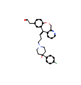 O=CCc1ccc2c(c1)/C(=C/CCN1CCC(O)(c3ccc(Cl)cc3)CC1)c1cccnc1CO2